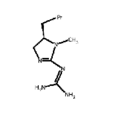 CC(C)C[C@@H]1CN=C(N=C(N)N)N1C